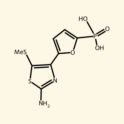 CSc1sc(N)nc1-c1ccc(P(=O)(O)O)o1